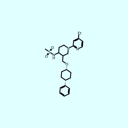 CCc1ccnc(N2CCC(NS(C)(=O)=O)C(CO[C@H]3CC[C@@H](c4ccccc4)CC3)C2)c1